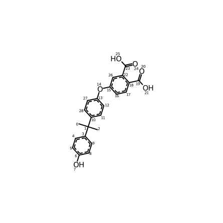 CC(C)(c1ccc(O)cc1)c1ccc(Oc2ccc(C(=O)O)c(C(=O)O)c2)cc1